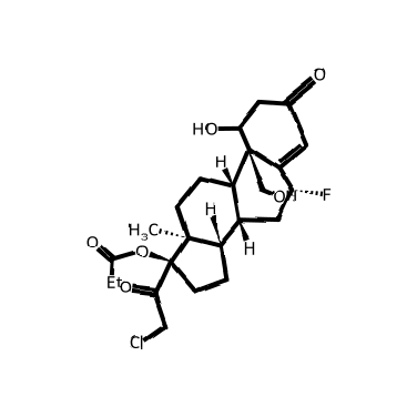 CCC(=O)O[C@]1(C(=O)CCl)CC[C@H]2[C@H]3C[C@@H](F)C4=CC(=O)CC(O)[C@@]4(CO)[C@H]3CC[C@@]21C